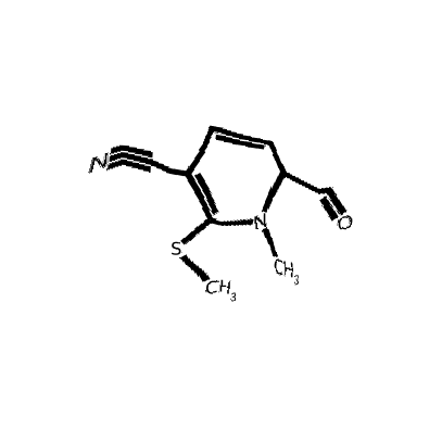 CSC1=C(C#N)C=CC(C=O)N1C